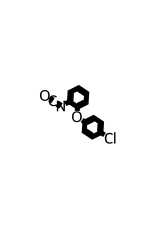 O=C=Nc1ccccc1Oc1ccc(Cl)cc1